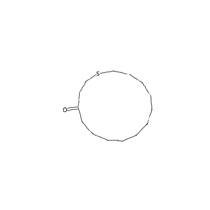 O=C1CCCCCCCCCCCSCC1